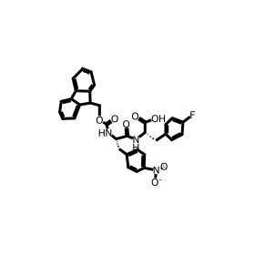 O=C(N[C@@H](Cc1ccc([N+](=O)[O-])cc1)C(=O)N[C@@H](Cc1ccc(F)cc1)C(=O)O)OCC1c2ccccc2-c2ccccc21